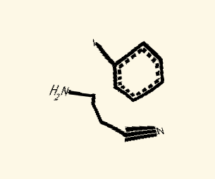 Ic1ccccc1.N#CCCN